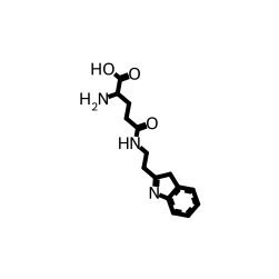 NC(CCC(=O)NCCC1=Nc2ccccc2C1)C(=O)O